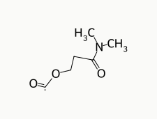 CN(C)C(=O)CCO[C]=O